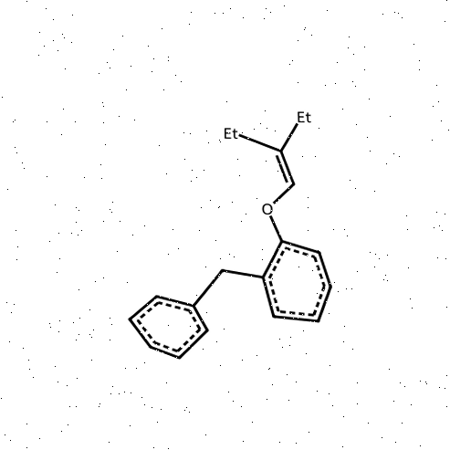 CCC(=COc1ccccc1Cc1ccccc1)CC